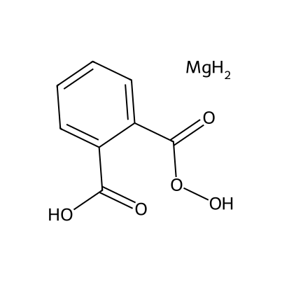 O=C(O)c1ccccc1C(=O)OO.[MgH2]